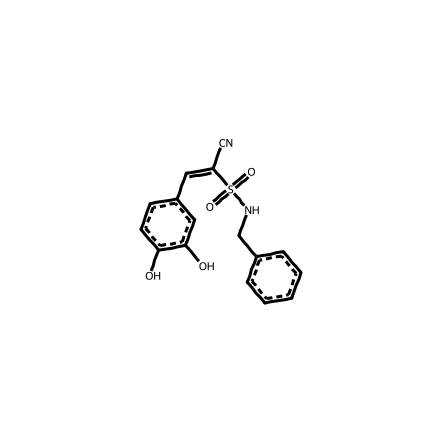 N#CC(=Cc1ccc(O)c(O)c1)S(=O)(=O)NCc1ccccc1